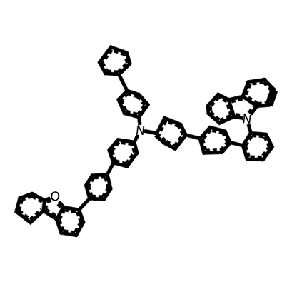 c1ccc2c3ccccc3n(-c3ccccc3-c3ccc(-c4ccc(N(c5ccc(-c6ccccc6)cc5)c5ccc(-c6ccc(-c7cccc8c7oc7ccccc78)cc6)cc5)cc4)cc3)c2c#1